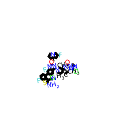 CC(C)[C@H]1N(C(=O)n2cnc(Cl)n2)C[C@]12CCCN(c1nc(OC[C@@]34CCCN3C[C@H](F)C4)nc3c(F)c(-c4ccc(F)c5sc(N)c(C#N)c45)c(Cl)cc13)[C@H]2C